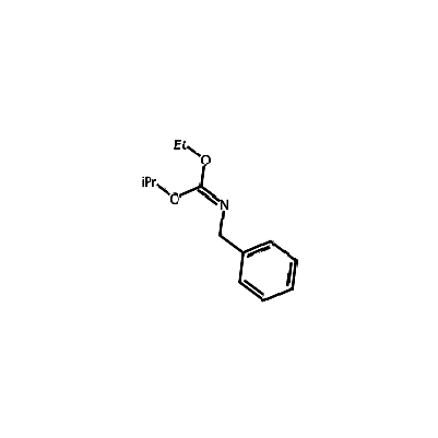 CCOC(=NCc1ccccc1)OC(C)C